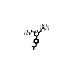 CC(C)Cc1ccc([C@H](CCCNC(=N)N)CC(N)=O)cc1.Cl